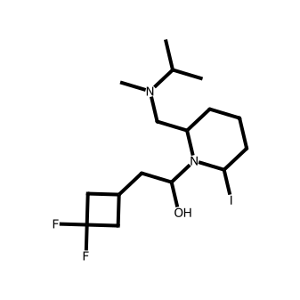 CC(C)N(C)CC1CCCC(I)N1C(O)CC1CC(F)(F)C1